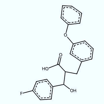 O=C(O)C(Cc1cccc(Oc2ccccc2)c1)C(O)c1ccc(F)cc1